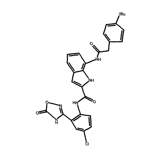 CC(C)(C)c1ccc(CC(=O)Nc2cccc3cc(C(=O)Nc4ccc(Cl)cc4-c4noc(=O)[nH]4)[nH]c23)cc1